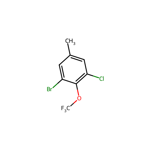 Cc1cc(Cl)c(OC(F)(F)F)c(Br)c1